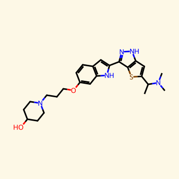 CC(c1cc2[nH]nc(-c3cc4ccc(OCCCN5CCC(O)CC5)cc4[nH]3)c2s1)N(C)C